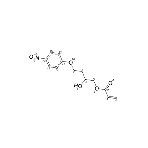 C=CC(=O)OCC(O)CCOc1ccc([N+](=O)[O-])cc1